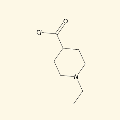 CCN1CCC(C(=O)Cl)CC1